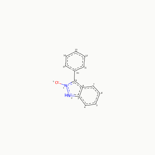 [O-][n+]1[nH]c2ccccc2c1-c1ccccc1